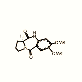 COc1cc2c(cc1OC)C(=O)N1CCC[C@H]1C(=O)N2